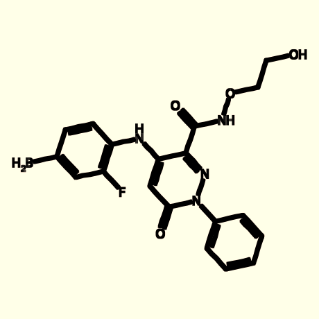 Bc1ccc(Nc2cc(=O)n(-c3ccccc3)nc2C(=O)NOCCO)c(F)c1